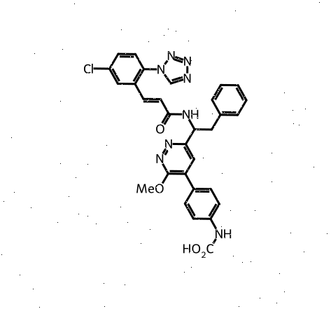 COc1nnc(C(Cc2ccccc2)NC(=O)C=Cc2cc(Cl)ccc2-n2cnnn2)cc1-c1ccc(NC(=O)O)cc1